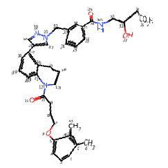 Cc1cccc(OCCCC(=O)N2CCCc3c(-c4cnn(Cc5cccc(C(=O)NCC(O)CC(=O)O)c5)c4)cccc32)c1C